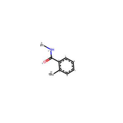 CC(C)NC(=O)c1ccccc1C(C)(C)C